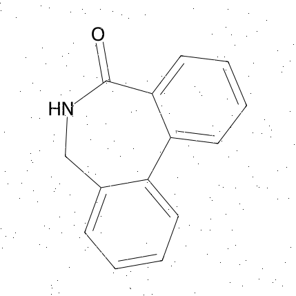 O=C1NCc2ccccc2-c2ccccc21